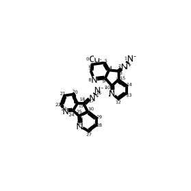 [Cu].[N-]=[N+]=C1c2cccnc2-c2ncccc21.[N-]=[N+]=C1c2cccnc2-c2ncccc21